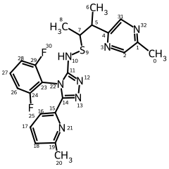 Cc1cnc(C(C)C(C)SNc2nnc(-c3cccc(C)n3)n2-c2c(F)cccc2F)cn1